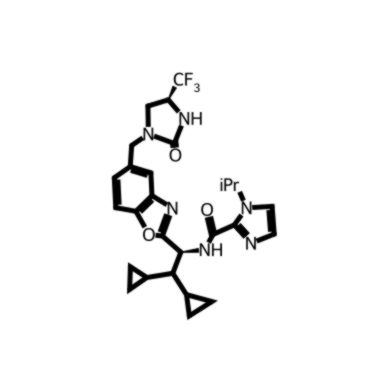 CC(C)n1ccnc1C(=O)N[C@H](c1nc2cc(CN3C[C@@H](C(F)(F)F)NC3=O)ccc2o1)C(C1CC1)C1CC1